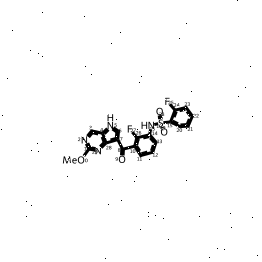 COc1ncc2[nH]cc(C(=O)c3cccc(NS(=O)(=O)c4ccccc4F)c3F)c2n1